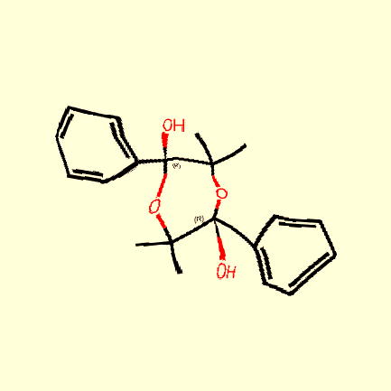 CC1(C)O[C@](O)(c2ccccc2)C(C)(C)O[C@]1(O)c1ccccc1